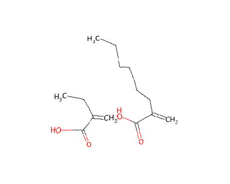 C=C(CC)C(=O)O.C=C(CCCCCC)C(=O)O